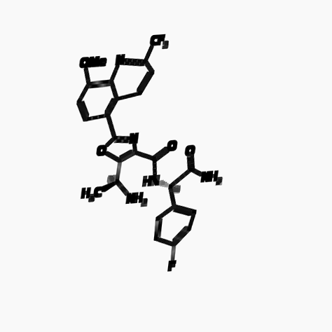 COc1ccc(-c2nc(C(=O)N[C@H](C(N)=O)c3ccc(F)cc3)c([C@H](C)N)o2)c2ccc(C(F)(F)F)nc12